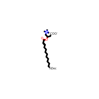 CCCCCCCCCCCCCCCCCCCC=CC(=O)OC(CC(=O)[O-])C[N+](C)(C)C